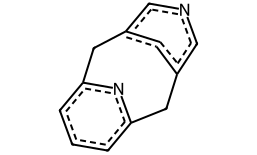 c1cc2nc(c1)Cc1cncc(c1)C2